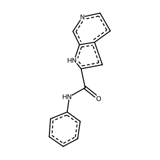 O=C(Nc1ccccc1)c1cc2ccncc2[nH]1